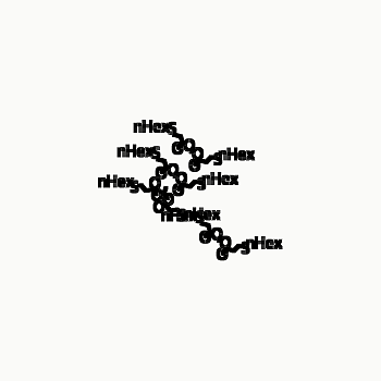 CCCCCCSCCC(=O)OC(C)OC(=O)CCSCCCCCC.CCCCCCSCCC(=O)OCOC(=O)CCSCCCCCC.CCCCCCSCCC(=O)OCOC(=O)CCSCCCCCC.CCCCCCSCCC(=O)OCOC(=O)CCSCCCCCC